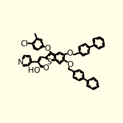 Cc1cc(Oc2c(C=C(C(=O)O)c3ccncc3)sc3cc(OCc4ccc(-c5ccccc5)cc4)c(OCc4ccc(-c5ccccc5)cc4)cc23)ccc1Cl